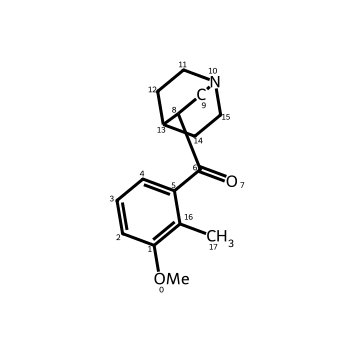 COc1cccc(C(=O)C2CN3CCC2CC3)c1C